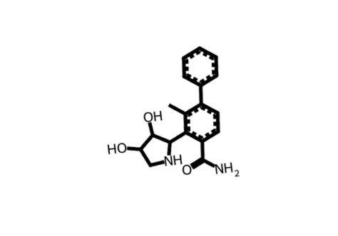 Cc1c(-c2ccccc2)ccc(C(N)=O)c1C1NCC(O)C1O